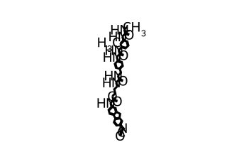 CNC(=O)Nc1cccc(NC(=O)Nc2ccc(CNC(=O)NCCCOC(=O)Nc3ccc4c(c3)Cc3cc(N=C=O)ccc3-4)cc2)c1C